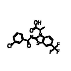 CC(C(=O)O)n1/c(=N/C(=O)c2cccc(Cl)c2)sc2cc(C(F)(F)F)ccc21